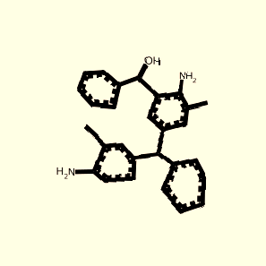 Cc1cc(C(c2ccccc2)c2cc(C)c(N)c(C(O)c3ccccc3)c2)ccc1N